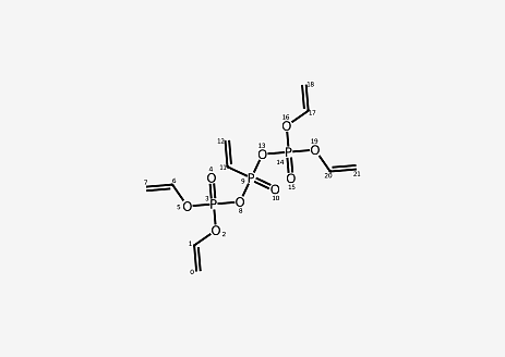 C=COP(=O)(OC=C)OP(=O)(C=C)OP(=O)(OC=C)OC=C